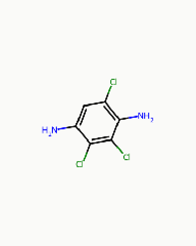 Nc1cc(Cl)c(N)c(Cl)c1Cl